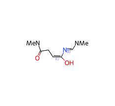 CN/C=N/C(O)=C\CC(=O)NC